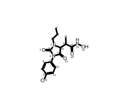 CCCN1C(=O)N(c2ccc(Cl)cc2)C(=O)C1C(C)C(=O)NO